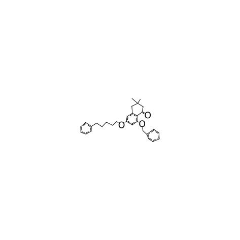 CC1(C)CC(=O)c2c(cc(OCCCCCc3ccccc3)cc2OCc2ccccc2)C1